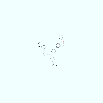 C1=CC(c2ccc3ccccc3c2)CC(N(C2=CCC(C3=CCCC=C3)C=C2)c2ccc(-c3ccc4c(ccc5oc6ccccc6c54)c3)cc2)=C1